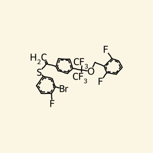 C=C(Sc1ccc(F)c(Br)c1)c1ccc(C(OCc2c(F)cccc2F)(C(F)(F)F)C(F)(F)F)cc1